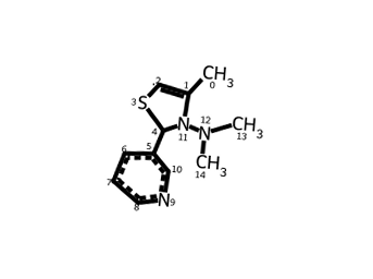 CC1=[C]SC(c2cccnc2)N1N(C)C